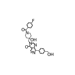 O=C(c1ccc(F)cc1)N1CCC(O)(Cn2cnc3c(-c4ccc(CO)cc4)nsc3c2=O)CC1